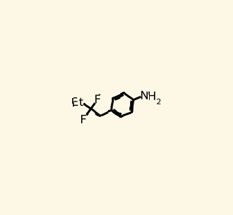 CCC(F)(F)Cc1ccc(N)cc1